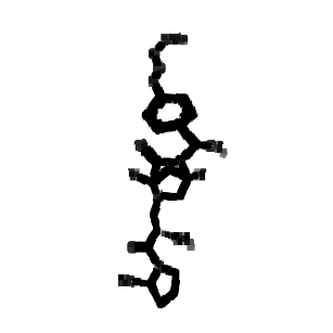 CNOOSc1ccc([C@@H](C)N2C(=O)[C@@H]3C[C@H]2CN3C[C@H](N)C(=O)N2CCC[C@H]2C#N)cc1